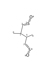 CC(C=S=O)C(C)C=S=O